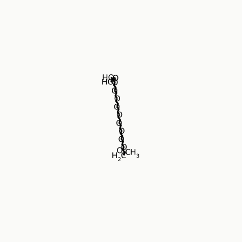 C=C(C)C(=O)OCCOCCOCCOCCOCCOCCOCCOCCOP(=O)(O)O